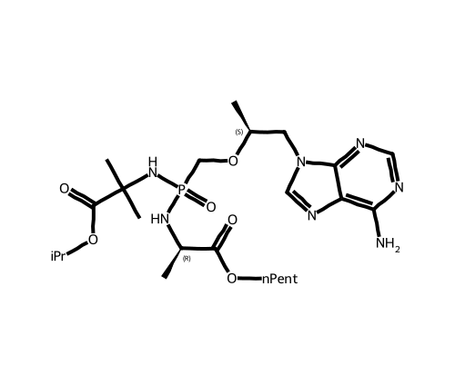 CCCCCOC(=O)[C@@H](C)NP(=O)(CO[C@@H](C)Cn1cnc2c(N)ncnc21)NC(C)(C)C(=O)OC(C)C